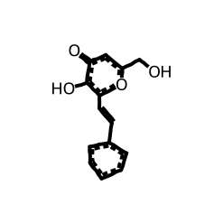 O=c1cc(CO)oc(/C=C/c2ccccc2)c1O